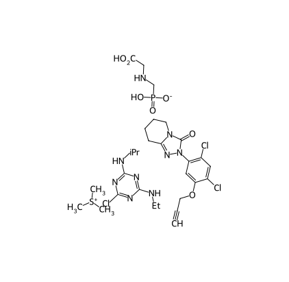 C#CCOc1cc(-n2nc3n(c2=O)CCCC3)c(Cl)cc1Cl.CCNc1nc(Cl)nc(NC(C)C)n1.C[S+](C)C.O=C(O)CNCP(=O)([O-])O